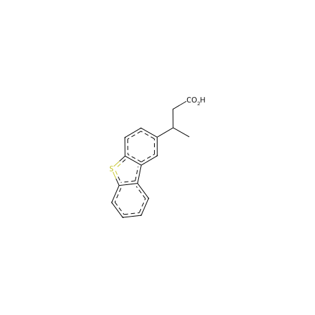 CC(CC(=O)O)c1ccc2sc3ccccc3c2c1